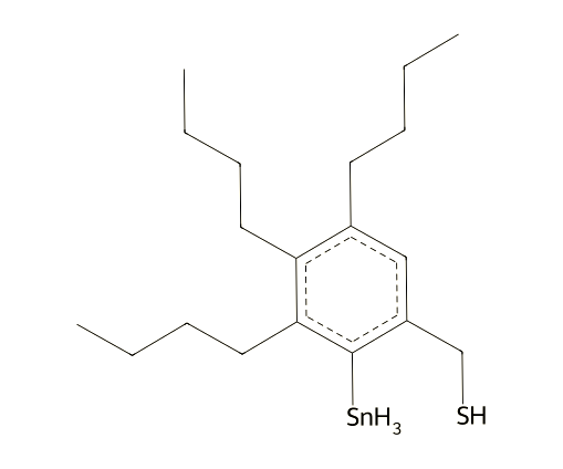 CCCCc1cc(CS)[c]([SnH3])c(CCCC)c1CCCC